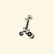 O=C(CCCCCNC(=O)C(F)(F)F)N[C@@H](Cc1ccc2c(c1)OCCO2)CN1CCCC1